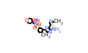 Cc1ncc(-c2nc(-c3cc(S(=O)(=O)NCC4(O)CCOCC4)ccc3C)cnc2N)s1